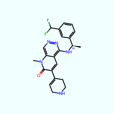 C[C@@H](Nc1nncc2c1cc(C1=CCNCC1)c(=O)n2C)c1cccc(C(F)F)c1